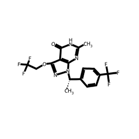 Cc1nc2c(c(OCC(F)(F)F)nn2[C@@H](C)c2ccc(C(F)(F)F)cc2)c(=O)[nH]1